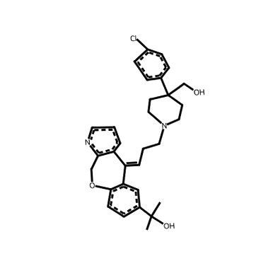 CC(C)(O)c1ccc2c(c1)/C(=C/CCN1CCC(CO)(c3ccc(Cl)cc3)CC1)c1cccnc1CO2